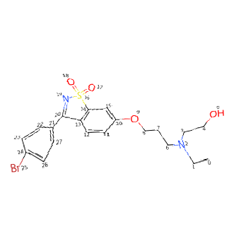 CCN(CCO)CCCOc1ccc2c(c1)S(=O)(=O)N=C2c1ccc(Br)cc1